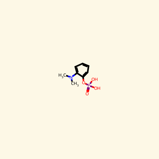 CN(C)c1ccccc1OP(=O)(O)O